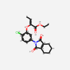 C/C=C(\Oc1cc(N2C(=O)C3=C(CCCC3)C2=O)ccc1Cl)C(=O)OCC